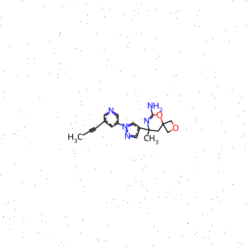 CC#Cc1cncc(-n2cc(C3(C)CC4(COC4)OC(N)=N3)cn2)c1